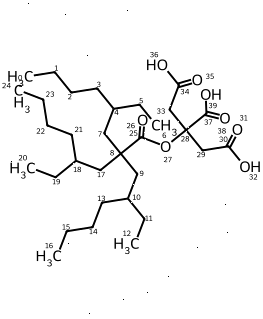 CCCCC(CC)CC(CC(CC)CCCC)(CC(CC)CCCC)C(=O)OC(CC(=O)O)(CC(=O)O)C(=O)O